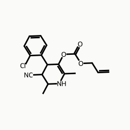 C=CCOC(=O)OC1=C(C)NC(C)C(C#N)C1c1ccccc1Cl